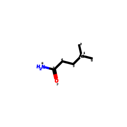 C[As](C)CCC(N)=O